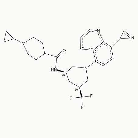 O=C(N[C@@H]1C[C@H](C(F)(F)F)CN(c2ccc(C3C=N3)c3ncccc23)C1)C1CCN(C2CC2)CC1